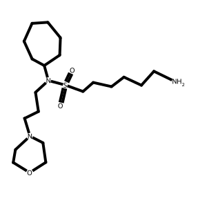 NCCCCCCS(=O)(=O)N(CCCN1CCOCC1)C1CCCCCC1